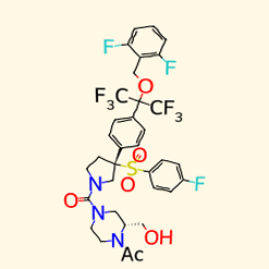 CC(=O)N1CCN(C(=O)N2CC[C@](c3ccc(C(OCc4c(F)cccc4F)(C(F)(F)F)C(F)(F)F)cc3)(S(=O)(=O)c3ccc(F)cc3)C2)C[C@@H]1CO